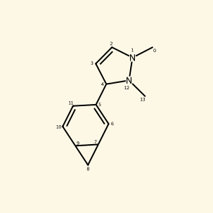 CN1C=CC(C2=CC3CC3C=C2)N1C